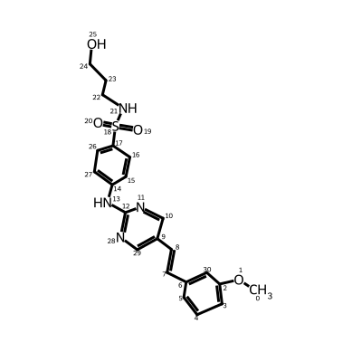 COc1cccc(C=Cc2cnc(Nc3ccc(S(=O)(=O)NCCCO)cc3)nc2)c1